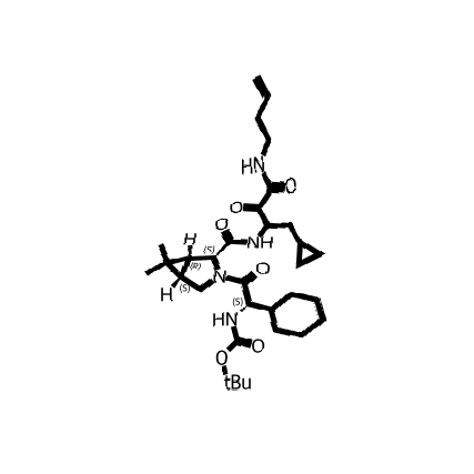 C=CCCNC(=O)C(=O)C(CC1CC1)NC(=O)[C@@H]1[C@@H]2[C@H](CN1C(=O)[C@@H](NC(=O)OC(C)(C)C)C1CCCCC1)C2(C)C